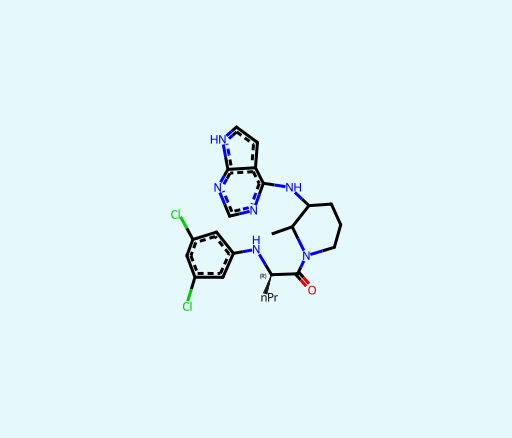 CCC[C@@H](Nc1cc(Cl)cc(Cl)c1)C(=O)N1CCCC(Nc2ncnc3[nH]ccc23)C1C